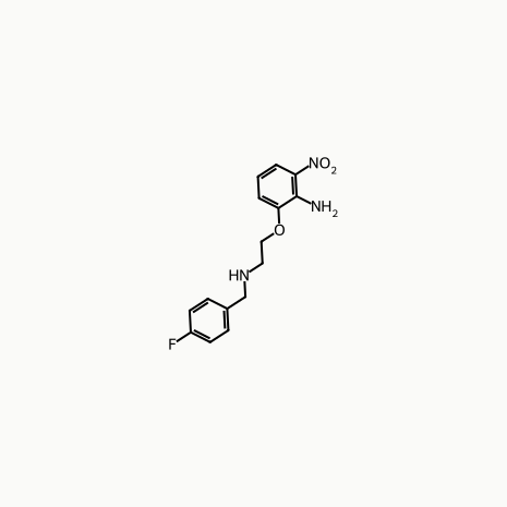 Nc1c(OCCNCc2ccc(F)cc2)cccc1[N+](=O)[O-]